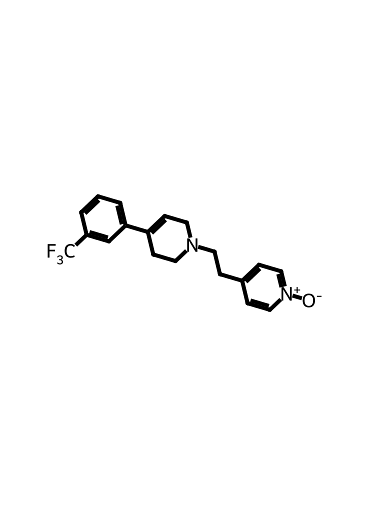 [O-][n+]1ccc(CCN2CC=C(c3cccc(C(F)(F)F)c3)CC2)cc1